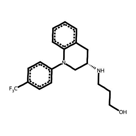 OCCCN[C@H]1Cc2ccccc2N(c2ccc(C(F)(F)F)cc2)C1